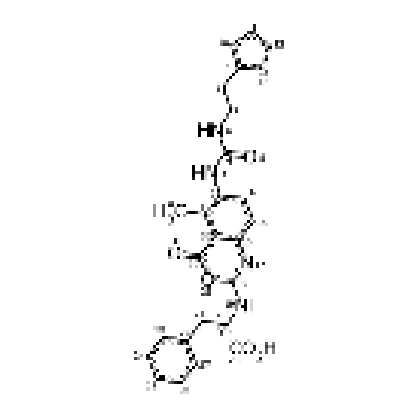 Cc1c(NC(=O)NCCc2cccs2)ccc2nc(N[C@@H](Cc3ccccc3)C(=O)O)oc(=O)c12